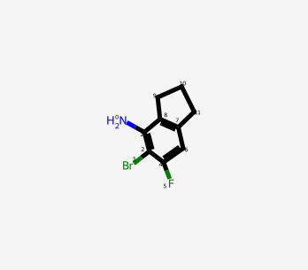 Nc1c(Br)c(F)cc2c1CCC2